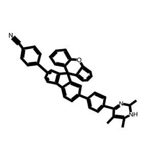 CC1=C(C)C(c2ccc(-c3ccc4c(c3)C3(c5ccccc5Oc5ccccc53)c3cc(-c5ccc(C#N)cc5)ccc3-4)cc2)=NC(C)N1